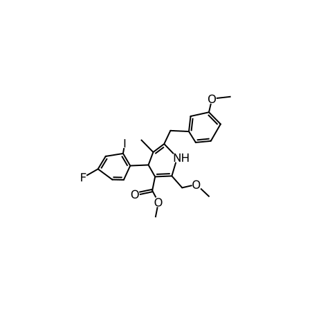 COCC1=C(C(=O)OC)C(c2ccc(F)cc2I)C(C)=C(Cc2cccc(OC)c2)N1